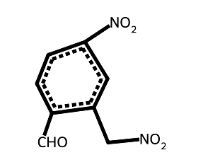 O=Cc1ccc([N+](=O)[O-])cc1C[N+](=O)[O-]